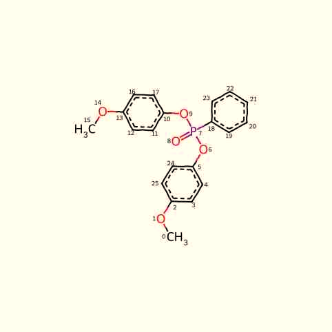 COc1ccc(OP(=O)(Oc2ccc(OC)cc2)c2ccccc2)cc1